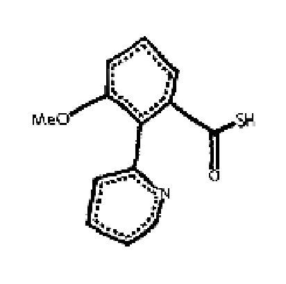 COc1cccc(C(=O)S)c1-c1ccccn1